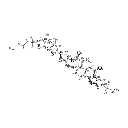 CCCCCC(C)(C)c1cc2c(s1)-c1sc(-c3cc4c(nc5c6ccc7c8c(ccc(c(=O)n45)c68)c(=O)n4c5cc(C(C)(C)CC)sc5nc74)s3)cc1C2(C)C